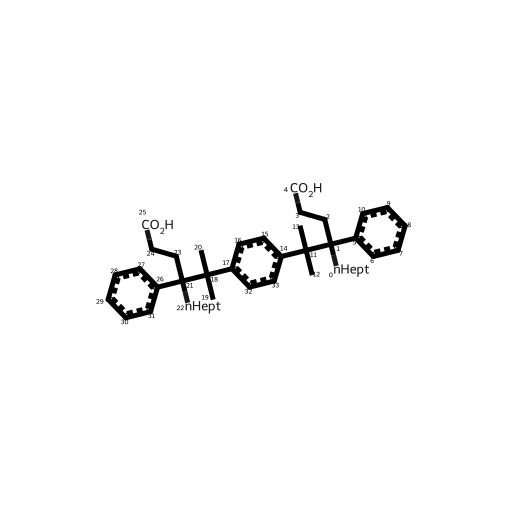 CCCCCCCC(CCC(=O)O)(c1ccccc1)C(C)(C)c1ccc(C(C)(C)C(CCCCCCC)(CCC(=O)O)c2ccccc2)cc1